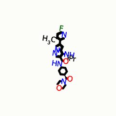 Cc1cc(F)ncc1-c1cc2c(NC(C)C)c(C(=O)N[C@H]3CC[C@H](C(=O)N4CCOCC4)CC3)cnn2c1